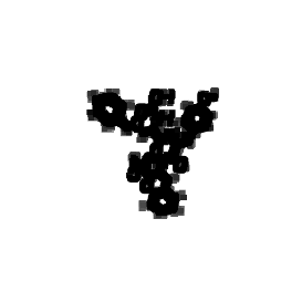 COc1ccc(CC(NC(=O)C(COCc2ccccc2)NC(=O)O)C(=O)NC(Cc2ccccc2)C(=O)C2(C)CO2)cc1